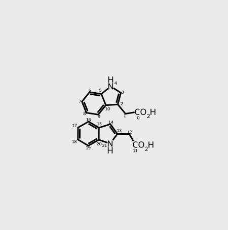 O=C(O)Cc1c[nH]c2ccccc12.O=C(O)Cc1cc2ccccc2[nH]1